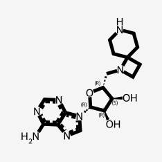 Nc1ncnc2c1ncn2[C@@H]1O[C@H](CN2CCC23CCNCC3)[C@@H](O)[C@H]1O